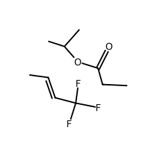 C/C=C/C(F)(F)F.CCC(=O)OC(C)C